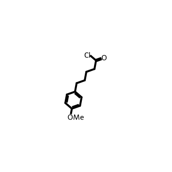 COc1ccc(CCCCC(=O)Cl)cc1